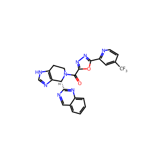 O=C(c1nnc(-c2cc(C(F)(F)F)ccn2)o1)N1CCc2[nH]cnc2[C@H]1c1ncc2ccccc2n1